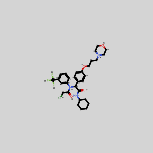 O=C(NC1CCCCC1)C(c1ccc(OCCCN2CCOCC2)cc1)N(C(=O)CCl)c1cccc(C(F)(F)F)c1